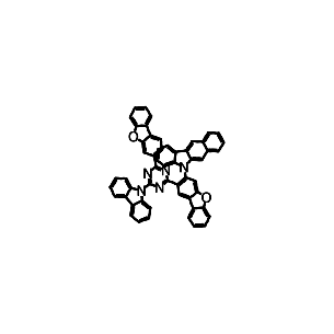 c1ccc2cc3c(cc2c1)c1ccccc1n3-c1cc2oc3ccccc3c2cc1-c1nc(-c2ccc3c(c2)oc2ccccc23)nc(-n2c3ccccc3c3ccccc32)n1